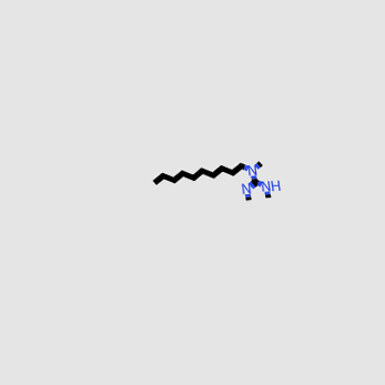 CCCCCCCCCCN(C)C(=NC)NC